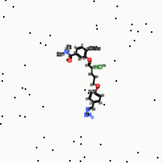 CCN(CC)C(=O)c1ccc(OC)c(OCCCCCOc2ccc(C=NN)cc2)c1.Cl